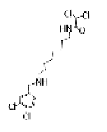 O=C(NCCCCCCCCNCc1ccc(Cl)c(Cl)c1)C(Cl)Cl